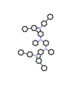 c1ccc(-c2ccc(-n3c4ccc(-c5ccccc5)cc4c4cc(N(c5ccccc5)c5cccc(N(c6ccccc6)c6ccc7c(c6)c6cc(-c8ccccc8)ccc6n7-c6ccc(-c7ccccc7)cc6)c5)ccc43)cc2)cc1